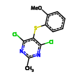 COc1ccccc1Sc1c(Cl)nc(C)nc1Cl